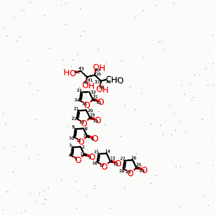 O=C1CC=CO1.O=C1CC=CO1.O=C1CC=CO1.O=C1CC=CO1.O=C1CC=CO1.O=C1CC=CO1.O=CC(O)C(O)C(O)CO